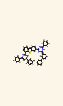 c1ccc(-c2cccc(-c3nc(-c4ccccc4)nc(-c4ccc5c(c4)sc4c(-c6nc(-c7ccccc7)cc(-c7ccccc7)n6)cccc45)n3)c2)cc1